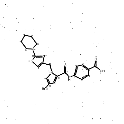 O=C(O)c1ccc(NC(=O)c2cc(Br)cn2Cc2csc(N3CCCCC3)n2)cc1